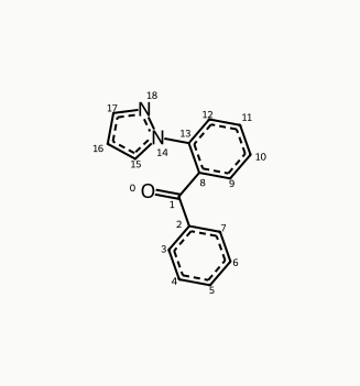 O=C(c1ccccc1)c1ccccc1-n1cccn1